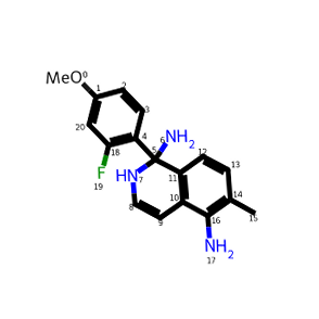 COc1ccc(C2(N)NC=Cc3c2ccc(C)c3N)c(F)c1